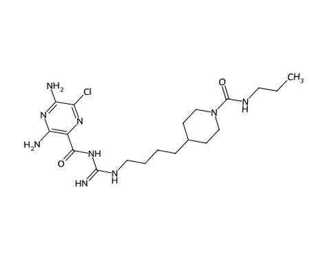 CCCNC(=O)N1CCC(CCCCNC(=N)NC(=O)c2nc(Cl)c(N)nc2N)CC1